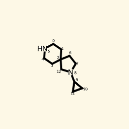 C1CC2(CCN1)CCN(C1CC1)C2